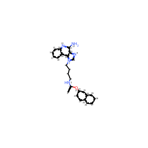 C=C(NCCCCn1cnc2c(N)nc3ccccc3c21)Oc1ccc2ccccc2c1